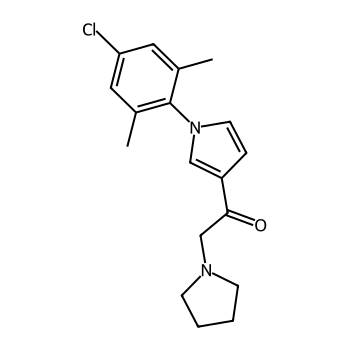 Cc1cc(Cl)cc(C)c1-n1ccc(C(=O)CN2CCCC2)c1